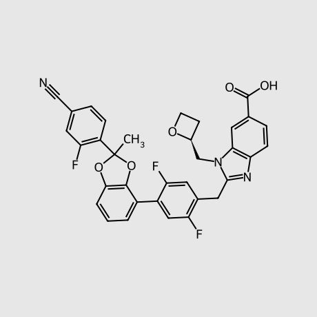 CC1(c2ccc(C#N)cc2F)Oc2cccc(-c3cc(F)c(Cc4nc5ccc(C(=O)O)cc5n4C[C@@H]4CCO4)cc3F)c2O1